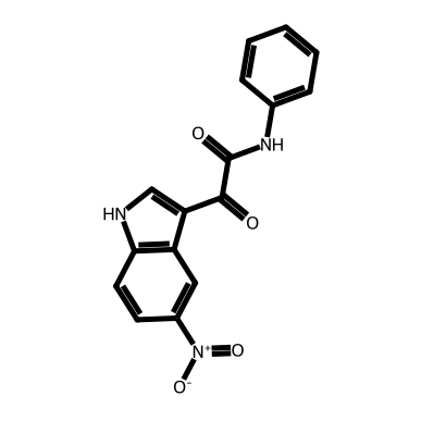 O=C(Nc1ccccc1)C(=O)c1c[nH]c2ccc([N+](=O)[O-])cc12